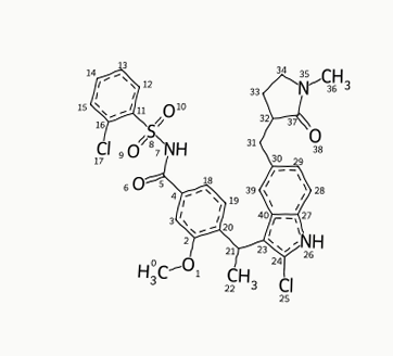 COc1cc(C(=O)NS(=O)(=O)c2ccccc2Cl)ccc1C(C)c1c(Cl)[nH]c2ccc(CC3CCN(C)C3=O)cc12